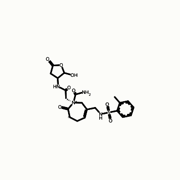 Cc1ccccc1S(=O)(=O)NCC1=CC[C]C(=O)[N@@+](CC(=O)NC2CC(=O)OC2O)(C(N)=O)C1